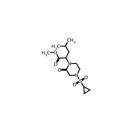 COC(=O)C(CC(C)C)N1CCN(S(=O)(=O)C2CC2)CC1=O